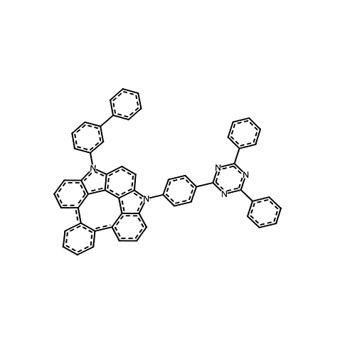 c1ccc(-c2cccc(-n3c4cccc5c6ccccc6c6cccc7c6c6c(c54)c3ccc6n7-c3ccc(-c4nc(-c5ccccc5)nc(-c5ccccc5)n4)cc3)c2)cc1